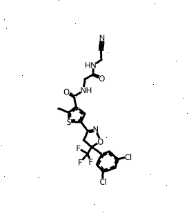 Cc1sc(C2=NOC(c3cc(Cl)cc(Cl)c3)(C(F)(F)F)C2)cc1C(=O)NCC(=O)NCC#N